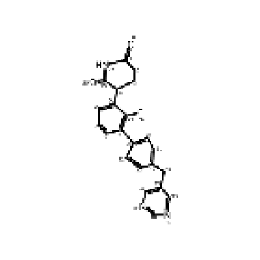 O=C1CCC(c2cccc(-c3ccc(Cc4cncnc4)cc3)c2Cl)C(=O)N1